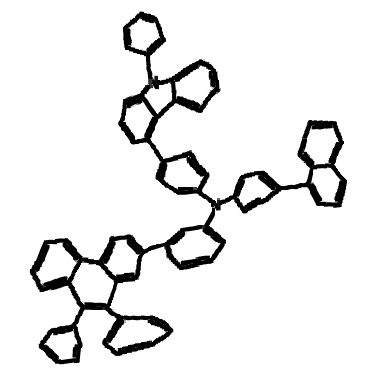 c1ccc(-c2c(-c3ccccc3)c3cc(-c4cccc(N(c5ccc(-c6cccc7ccccc67)cc5)c5ccc(-c6cccc7c6c6ccccc6n7-c6ccccc6)cc5)c4)ccc3c3ccccc23)cc1